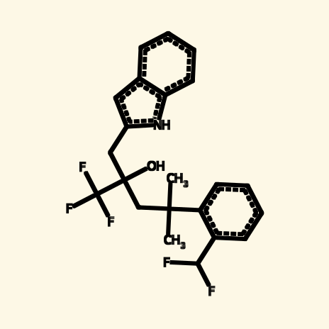 CC(C)(CC(O)(Cc1cc2ccccc2[nH]1)C(F)(F)F)c1ccccc1C(F)F